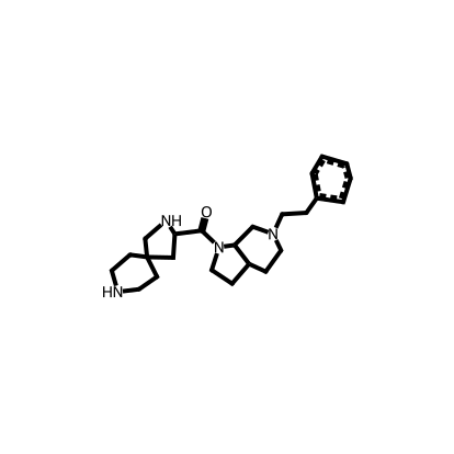 O=C(C1CC2(CCNCC2)CN1)N1CCC2CCN(CCc3ccccc3)CC21